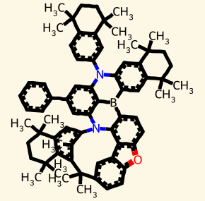 Cc1c2cc3c(c1C(C)(C)c1ccc4oc5ccc6c(c5c4c1)N2c1cc(-c2ccccc2)cc2c1B6c1cc4c(cc1N2c1ccc2c(c1)C(C)(C)CCC2(C)C)C(C)(C)CCC4(C)C)C(C)(C)CCC3(C)C